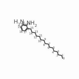 CCCCCCCCCCCCCCCCc1cccc(N)c1N